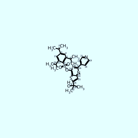 CC(C)c1cc(C(C)C)c(S(=O)(=O)Oc2nc(-c3ccncc3)nc3cc(C(C)(C)C)sc23)c(C(C)C)c1